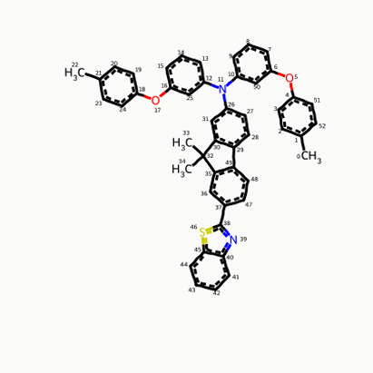 Cc1ccc(Oc2cccc(N(c3cccc(Oc4ccc(C)cc4)c3)c3ccc4c(c3)C(C)(C)c3cc(-c5nc6ccccc6s5)ccc3-4)c2)cc1